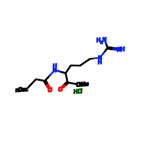 CCCCCCCCCCCC(=O)NC(CCCNC(=N)N)C(=O)OC.Cl